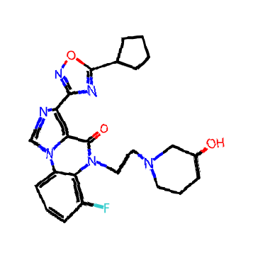 O=c1c2c(-c3noc(C4CCCC4)n3)ncn2c2cccc(F)c2n1CCN1CCCC(O)C1